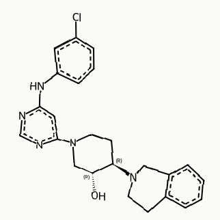 O[C@@H]1CN(c2cc(Nc3cccc(Cl)c3)ncn2)CC[C@H]1N1CCc2ccccc2C1